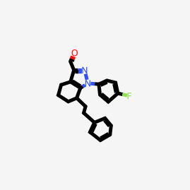 O=Cc1nn(-c2ccc(F)cc2)c2c1CCCC2CCc1ccccc1